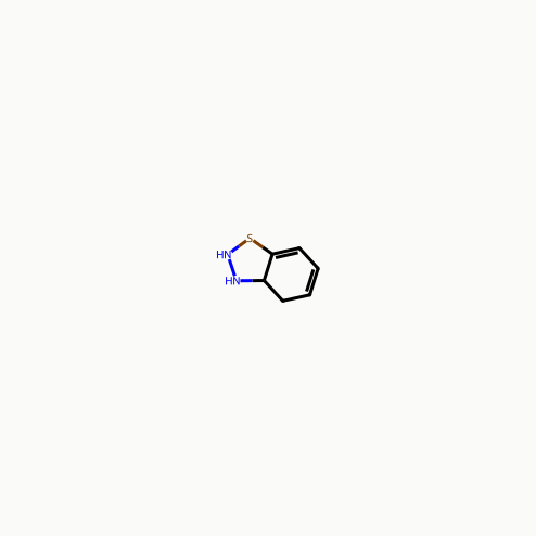 C1=CCC2NNSC2=C1